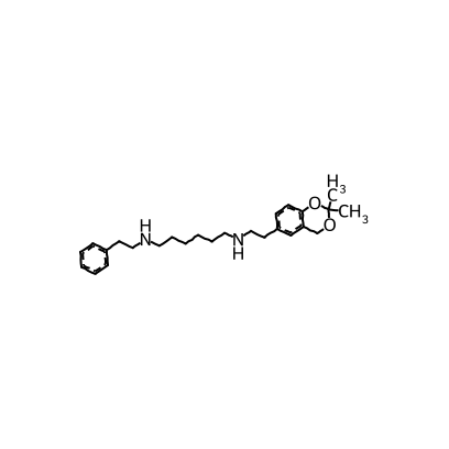 CC1(C)OCc2cc(CCNCCCCCCNCCc3ccccc3)ccc2O1